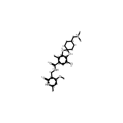 COc1cc(C)[nH]c(=O)c1CNC(=O)c1cc(Cl)c2c(c1C)OC1(CCC(CN(C)C)CC1)O2